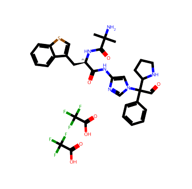 CC(C)(N)C(=O)N[C@H](Cc1csc2ccccc12)C(=O)Nc1cn(C(C=O)(c2ccccc2)C2CCCN2)cn1.O=C(O)C(F)(F)F.O=C(O)C(F)(F)F